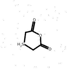 O=C1C[SiH2]CC(=O)O1